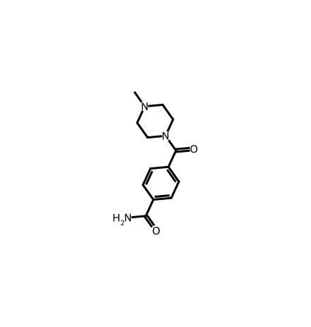 CN1CCN(C(=O)c2ccc(C(N)=O)cc2)CC1